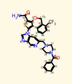 C[C@@H](Oc1cc(-n2cnc3cnc(CN4CCN(C(=O)c5ccccc5)CC4)cc32)sc1C(N)=O)c1ccccc1C(F)(F)F